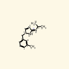 Cc1cccc(Cn2cn/c(=N\C(C)C)[nH]2)c1